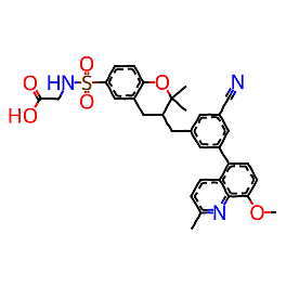 COc1ccc(-c2cc(C#N)cc(CC3Cc4cc(S(=O)(=O)NCC(=O)O)ccc4OC3(C)C)c2)c2ccc(C)nc12